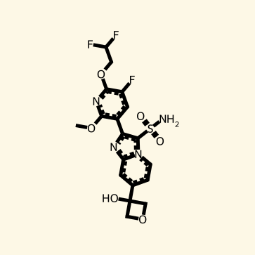 COc1nc(OCC(F)F)c(F)cc1-c1nc2cc(C3(O)COC3)ccn2c1S(N)(=O)=O